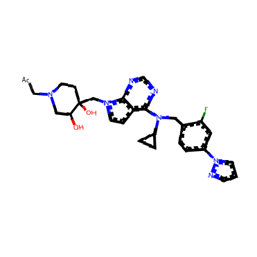 CC(=O)CN1CCC(O)(Cn2ccc3c(N(Cc4ccc(-n5cccn5)cc4F)C4CC4)ncnc32)C(O)C1